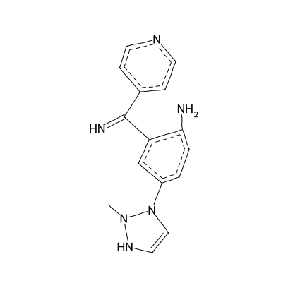 CN1NC=CN1c1ccc(N)c(C(=N)c2ccncc2)c1